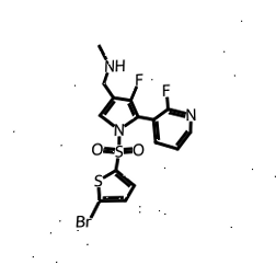 CNCc1cn(S(=O)(=O)c2ccc(Br)s2)c(-c2cccnc2F)c1F